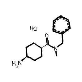 CN(Cc1ccccc1)C(=O)[C@H]1CC[C@H](N)CC1.Cl